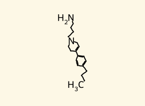 CCCCc1ccc(C2=CCN(CCCCN)CC2)cc1